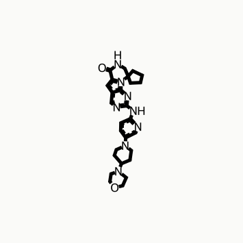 O=C1NCC2(CCCC2)n2c1cc1cnc(Nc3ccc(N4CCC(N5CCOCC5)CC4)cn3)nc12